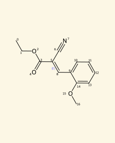 CCOC(=O)/C(C#N)=C/c1ccccc1OC